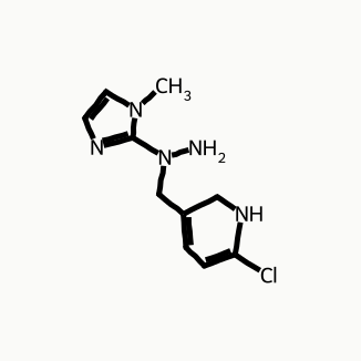 Cn1ccnc1N(N)CC1=CC=C(Cl)NC1